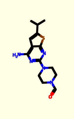 CC(C)c1cc2c(N)nc(N3CCN(C=O)CC3)nc2s1